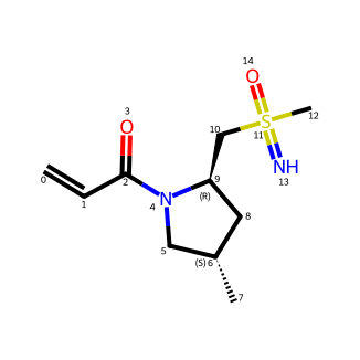 C=CC(=O)N1C[C@@H](C)C[C@@H]1CS(C)(=N)=O